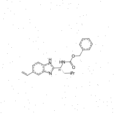 C=Cc1ccc2[nH]c([C@@H](CC(C)C)NC(=O)OCc3ccccc3)nc2c1